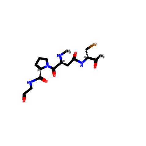 CN[C@@H](CC(=O)N[C@H](CS)C(C)=O)C(=O)N1CCC[C@H]1C(=O)NCC=O